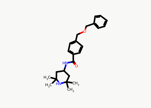 CC1(C)CC(NC(=O)c2ccc(COCc3ccccc3)cc2)CC(C)(C)N1